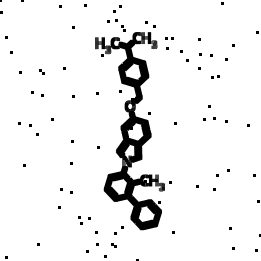 Cc1c(-c2ccccc2)cccc1-n1cc2ccc(OCc3ccc(C(C)C)cc3)cc2c1